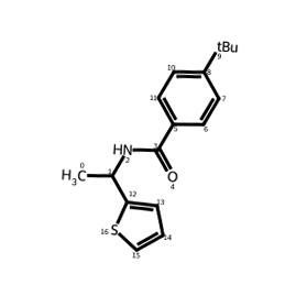 CC(NC(=O)c1ccc(C(C)(C)C)cc1)c1cccs1